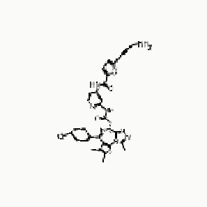 Cc1sc2c(c1C)C(c1ccc(Cl)cc1)=N[C@@H](CC(=O)Nc1cc(NC(=O)c3ccc(C#CCN)o3)ccn1)c1nnc(C)n1-2